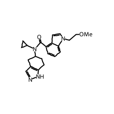 COCCn1ccc2c(C(=O)N(C3CC3)C3CCc4[nH]ncc4C3)cccc21